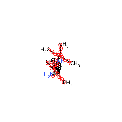 COCCOCCOCCOC1=CC(C(N)=O)=CC(OCCOCCOCCOC)C1(OCCOCCOCCOC)c1ccccc1C#CC12C(c3c4ccccc4cc4ccccc34)=C(c3ccc(NC(=O)c4cc(OCCOCCOCCOC)c(OCCOCCOCCOC)c(OCCOCCOCCOC)c4)cc3)C(c3ccccc31)c1ccccc12